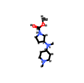 CN1CCC(N(C)[C@H]2CCN(C(=O)OC(C)(C)C)C2)CC1